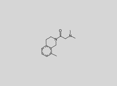 Cc1cccc2c1CN(C(=O)CN(C)C)CC2